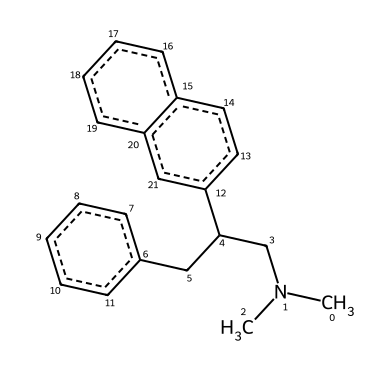 CN(C)CC(Cc1ccccc1)c1ccc2ccccc2c1